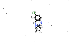 Cc1c(Cl)ccc2c1CN1C(=N2)C2CCC1C2